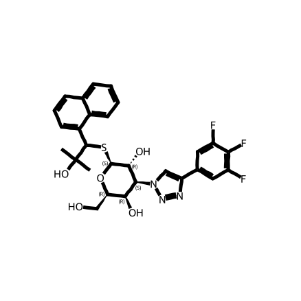 CC(C)(O)C(S[C@@H]1O[C@H](CO)[C@H](O)[C@H](n2cc(-c3cc(F)c(F)c(F)c3)nn2)[C@H]1O)c1cccc2ccccc12